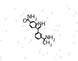 C=C(N)c1cccc(-c2c[nH]c3cc(C(N)=O)ccc23)c1